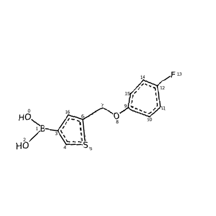 OB(O)c1csc(COc2ccc(F)cc2)c1